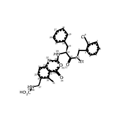 CCN(Cc1ccccc1Cl)C(=O)[C@H](Cc1ccccc1)Nc1nc2ccc(CNC(=O)O)c(C)c2c(=O)o1